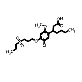 CCCCC(CC(=O)O)c1cc(Cl)c(OCCCS(=O)(=O)CCC)cc1OC